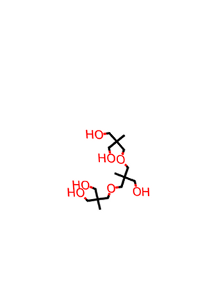 CC(CO)(CO)COCC(C)(CO)COCC(C)(CO)CO